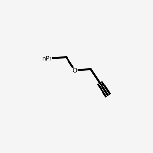 C#CCOCCC[CH2]